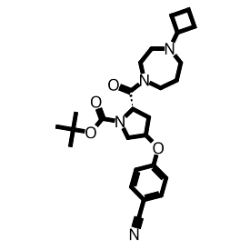 CC(C)(C)OC(=O)N1CC(Oc2ccc(C#N)cc2)C[C@H]1C(=O)N1CCCN(C2CCC2)CC1